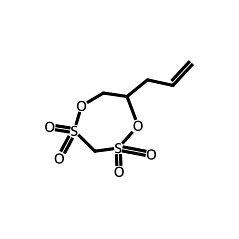 C=CCC1COS(=O)(=O)CS(=O)(=O)O1